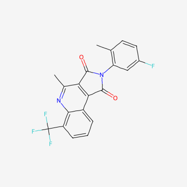 Cc1ccc(F)cc1N1C(=O)c2c(C)nc3c(C(F)(F)F)cccc3c2C1=O